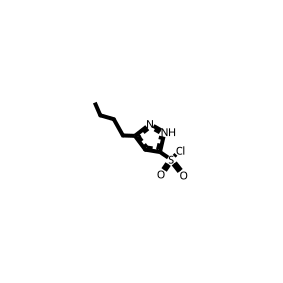 CCCCc1cc(S(=O)(=O)Cl)[nH]n1